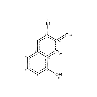 CCc1cc2cccc(O)c2oc1=O